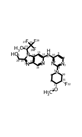 CO[C@@H]1CCN(c2nccc(Nc3cc4c(cn3)nc(CO)n4[C@@H](C)C(F)(F)F)n2)C[C@@H]1F